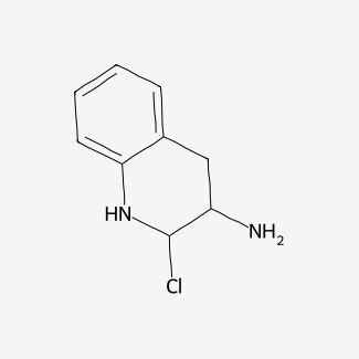 NC1Cc2ccccc2NC1Cl